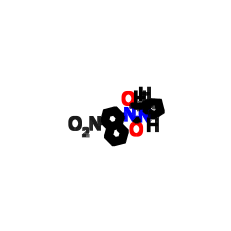 O=C1[C@@H]2[C@@H]3C=C[C@@H](C3)N2C(=O)N1c1ccc([N+](=O)[O-])c2ccccc12